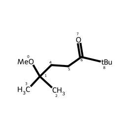 COC(C)(C)CCC(=O)C(C)(C)C